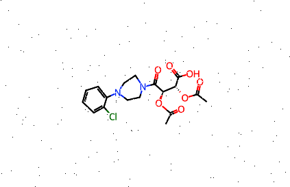 CC(=O)O[C@@H](C(=O)O)[C@@H](OC(C)=O)C(=O)N1CCN(c2ccccc2Cl)CC1